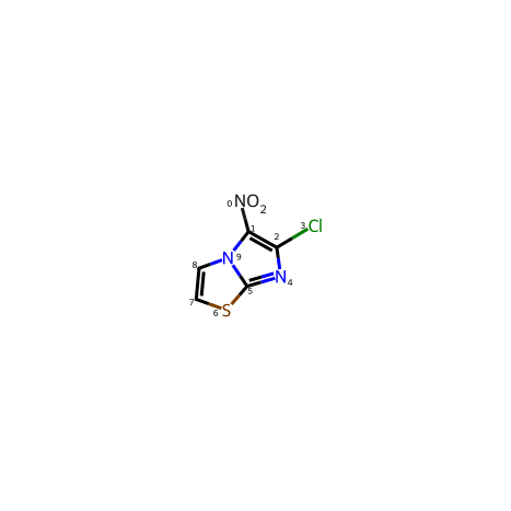 O=[N+]([O-])c1c(Cl)nc2sccn12